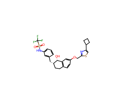 O=S(=O)(Nc1cccc(C[C@H]2CCc3ccc(OCc4nc(C5CCC5)cs4)cc3[C@H]2O)c1)C(F)(F)F